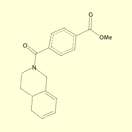 COC(=O)c1ccc(C(=O)N2CCC3CC=CC=C3C2)cc1